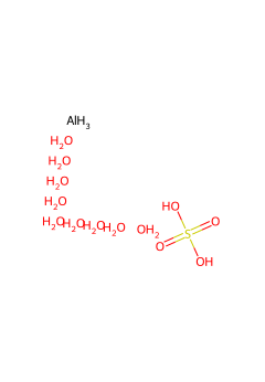 O.O.O.O.O.O.O.O.O.O=S(=O)(O)O.[AlH3]